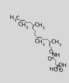 CC(C)=CCCC(C)=CCCC(C)=CCCC(C)=CCONC(=O)CCP(=O)(O)O